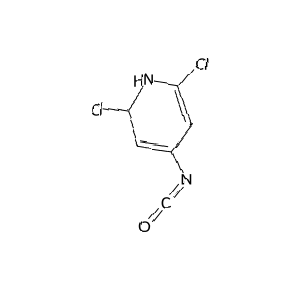 O=C=NC1=CC(Cl)NC(Cl)=C1